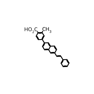 Cc1cc(-c2ccc3cc(/C=C/c4ccccc4)ccc3c2)ccc1C(=O)O